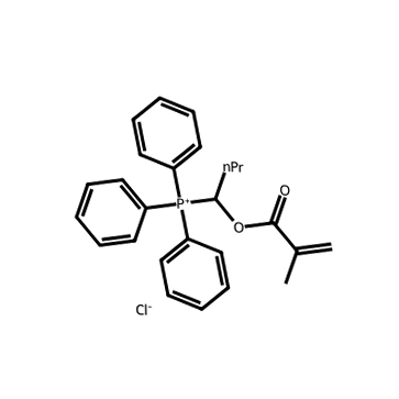 C=C(C)C(=O)OC(CCC)[P+](c1ccccc1)(c1ccccc1)c1ccccc1.[Cl-]